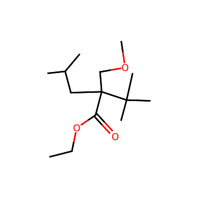 CCOC(=O)C(COC)(CC(C)C)C(C)(C)C